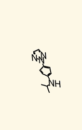 CC(C)Nc1ccc(-n2nccn2)cc1